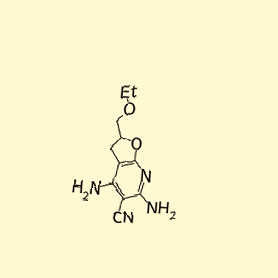 CCOCC1Cc2c(nc(N)c(C#N)c2N)O1